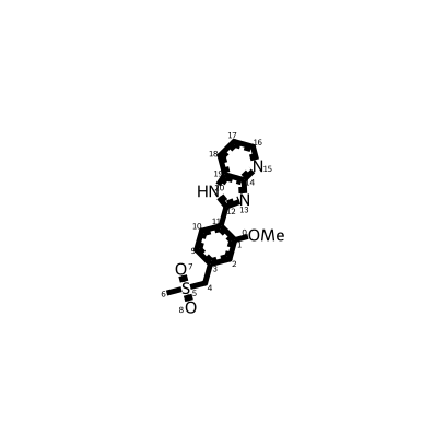 COc1cc(CS(C)(=O)=O)ccc1-c1nc2ncccc2[nH]1